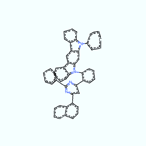 c1ccc(-c2nc(-c3ccccc3-n3c4ccccc4c4cc5c6ccccc6n(-c6ccccc6)c5cc43)cc(-c3cccc4ccccc34)n2)cc1